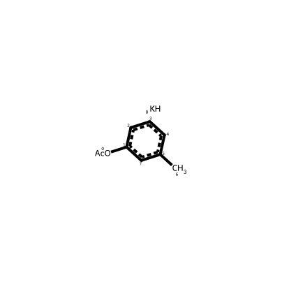 CC(=O)Oc1cccc(C)c1.[KH]